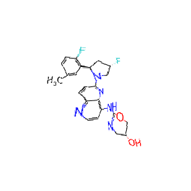 Cc1ccc(F)c([C@H]2C[C@H](F)CN2c2ccc3nccc(NC4=NC[C@@H](O)CO4)c3n2)c1